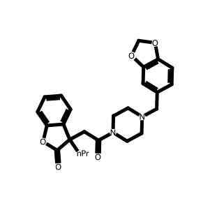 CCCC1(CC(=O)N2CCN(Cc3ccc4c(c3)OCO4)CC2)C(=O)Oc2ccccc21